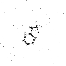 CC(C)(C)Nc1ncccn1